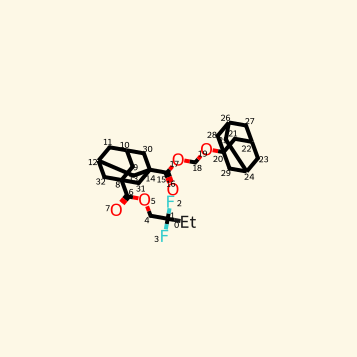 CCC(F)(F)COC(=O)C12CC3CC(CC(C(=O)OCOC45CC6CC(CC(C6)C4)C5)(C3)C1)C2